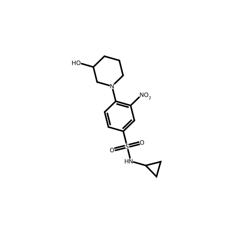 O=[N+]([O-])c1cc(S(=O)(=O)NC2CC2)ccc1N1CCCC(O)C1